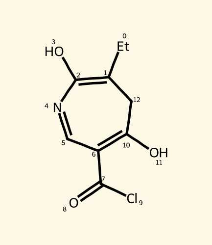 CCC1=C(O)N=CC(C(=O)Cl)=C(O)C1